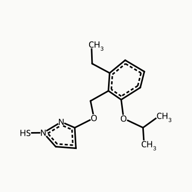 CCc1cccc(OC(C)C)c1COc1ccn(S)n1